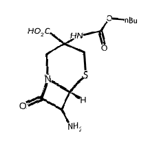 CCCCOC(=O)NC1(C(=O)O)CS[C@@H]2C(N)C(=O)N2C1